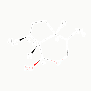 CC1CO[C@@H](O)[C@@H]2[C@@H](C)CC[C@@H]12